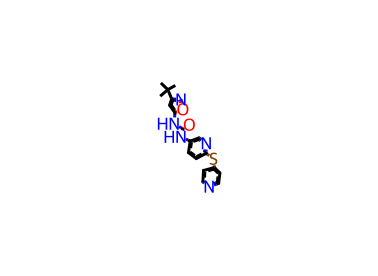 CC(C)(C)c1cc(NC(=O)Nc2ccc(Sc3ccncc3)nc2)on1